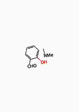 CNC.O=Cc1ccccc1O